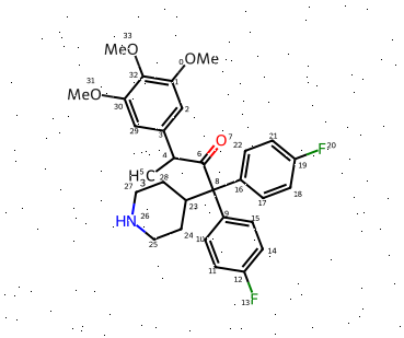 COc1cc(C(C)C(=O)C(c2ccc(F)cc2)(c2ccc(F)cc2)C2CCNCC2)cc(OC)c1OC